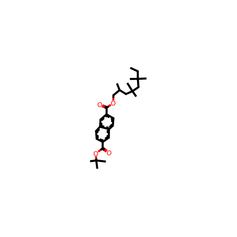 CCC(C)(C)CC(C)(C)CC(C)COC(=O)c1ccc2cc(C(=O)OC(C)(C)C)ccc2c1